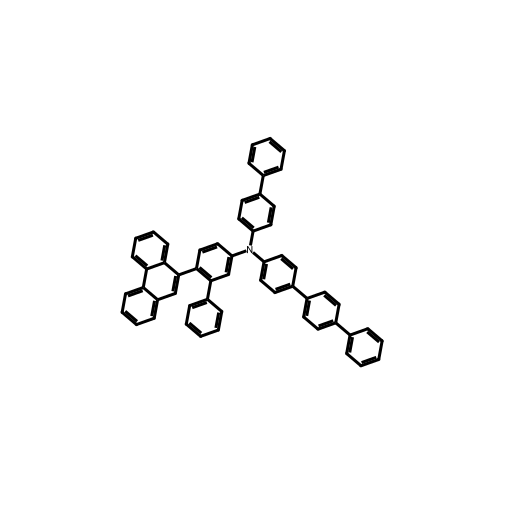 c1ccc(-c2ccc(-c3ccc(N(c4ccc(-c5ccccc5)cc4)c4ccc(-c5cc6ccccc6c6ccccc56)c(-c5ccccc5)c4)cc3)cc2)cc1